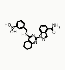 NC(=O)c1cccc2c1cnn2-c1nc2c(c(NCc3cccc(B(O)O)c3)n1)CCCC2